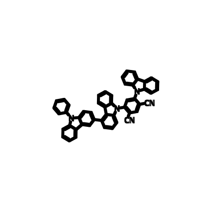 N#Cc1cc(C#N)c(-n2c3ccccc3c3c(-c4ccc5c(c4)c4ccccc4n5-c4ccccc4)cccc32)cc1-n1c2ccccc2c2ccccc21